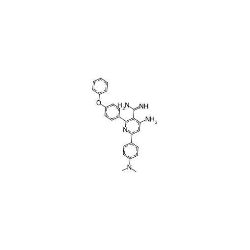 CN(C)c1ccc(-c2cc(N)c(C(=N)N)c(-c3ccc(Oc4ccccc4)cc3)n2)cc1